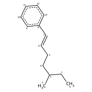 CCC(C)CCC=Cc1ccccc1